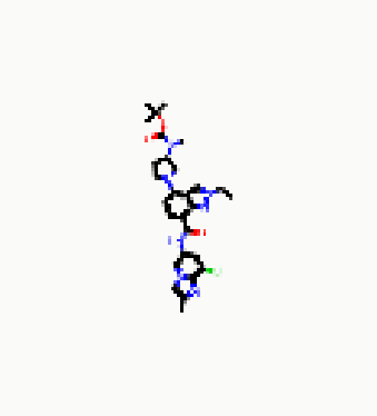 CCn1cc2c(N3CC[C@@H](N(C)C(=O)OC(C)(C)C)C3)ccc(C(=O)Nc3cc(Cl)c4nc(C)cn4c3)c2n1